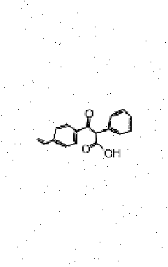 C=Cc1ccc(C(=O)C(C(=O)O)c2ccccc2)cc1